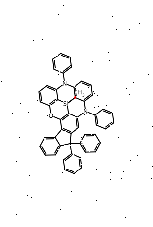 CC[Si]12c3c4cccc3N(c3ccccc3)c3cccc(c31)N(c1ccccc1)c1cc3c(c(c12)O4)-c1ccccc1C3(c1ccccc1)c1ccccc1